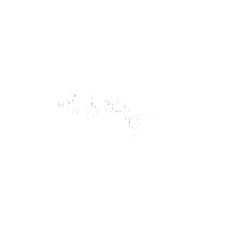 CC1(NC(=O)c2cn3cc(Oc4ncc(Cl)cc4OCC(F)F)ccc3n2)CCS(=O)(=O)C(C)(C)C1